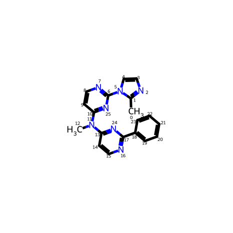 Cc1nccn1-c1nccc(N(C)c2ccnc(-c3ccccc3)n2)n1